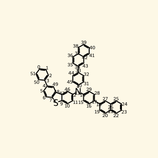 c1ccc(-c2ccc3sc4ccc(N(c5ccc(-c6ccc7ccccc7c6)cc5)c5ccc(-c6ccc7ccccc7c6)cc5)cc4c3c2)cc1